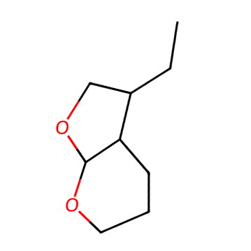 CCC1COC2OCCCC12